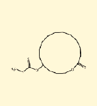 CSC(=S)OC1CCCCCCCCCCC(=O)OCCC1